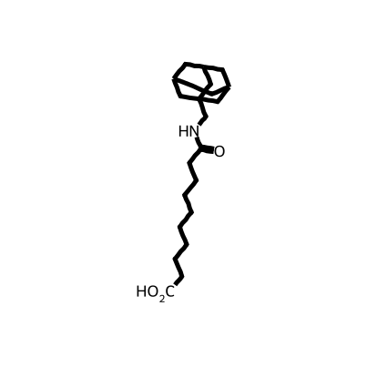 O=C(O)CCCCCCCCC(=O)NCC12CC3CC(CC(C3)C1)C2